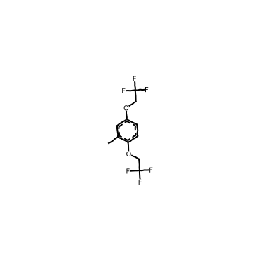 Cc1cc(OCC(F)(F)F)ccc1OCC(F)(F)F